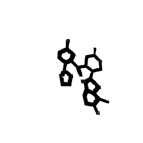 Cc1c(Cl)ccc2[nH]c([C@@H]3CO[C@@H](C)CN3C(=O)c3cc(Cl)ccc3-n3nccn3)nc12